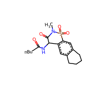 CCCCC(=O)NC1C(=O)N(C)S(=O)(=O)c2cc3c(cc21)CCCC3